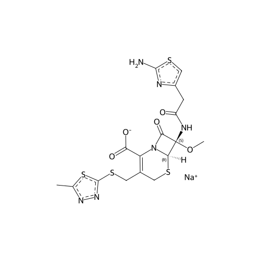 CO[C@@]1(NC(=O)Cc2csc(N)n2)C(=O)N2C(C(=O)[O-])=C(CSc3nnc(C)s3)CS[C@@H]21.[Na+]